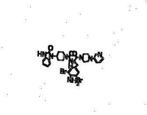 Nc1c(Br)cc(C[C@@H](NC(=O)N2CCC(n3c(=O)[nH]c4ccccc43)CC2)C(=O)N2CCN(c3cccnc3)CC2)cc1Br